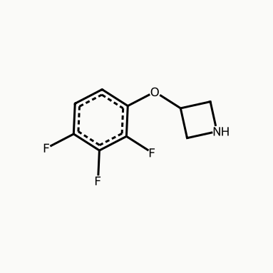 Fc1ccc(OC2CNC2)c(F)c1F